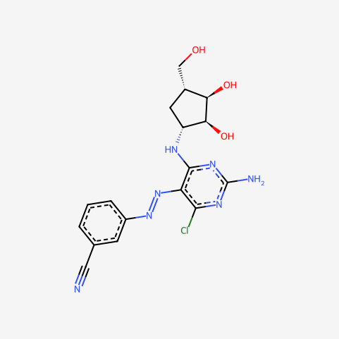 N#Cc1cccc(/N=N/c2c(Cl)nc(N)nc2N[C@@H]2C[C@H](CO)[C@@H](O)[C@H]2O)c1